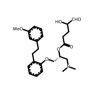 COc1cccc(CCc2ccccc2OC[C@@H](CN(C)C)OC(=O)CCC(O)C=O)c1